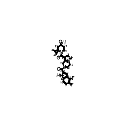 O=C(c1cc2c(F)c(F)ccc2[nH]1)N1CCn2ncc(C(=O)N3CCC(O)CC34CC4)c2C1